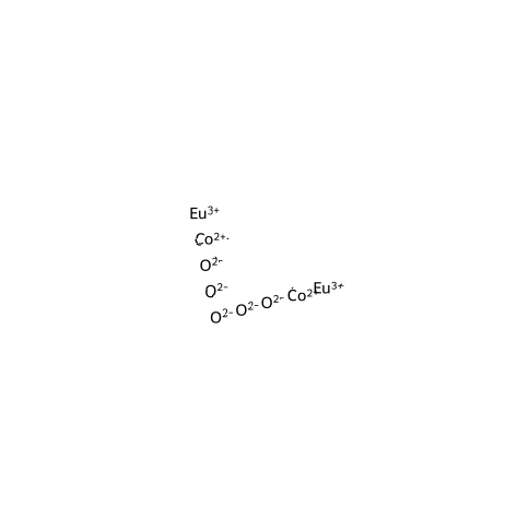 [Co+2].[Co+2].[Eu+3].[Eu+3].[O-2].[O-2].[O-2].[O-2].[O-2]